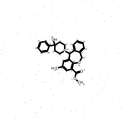 COC(=O)c1cc(C)cc2c1OCc1ccccc1C2N1CCC(O)(c2ccccc2)CC1